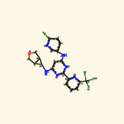 Fc1ccc(Nc2cc(NC3C4COCC43)nc(-c3cccc(C(F)(F)F)n3)n2)cn1